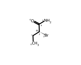 CC[C@@H](Br)C(N)=O